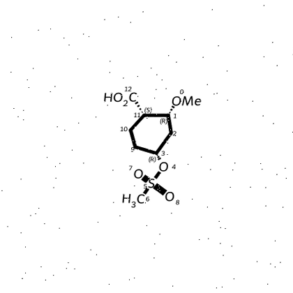 CO[C@@H]1C[C@H](OS(C)(=O)=O)CC[C@@H]1C(=O)O